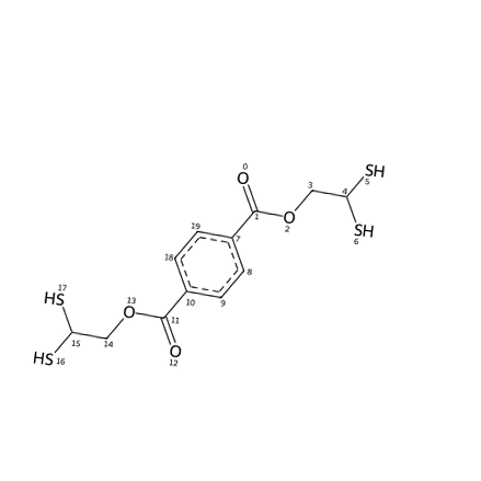 O=C(OCC(S)S)c1ccc(C(=O)OCC(S)S)cc1